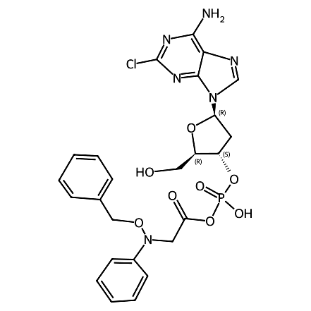 Nc1nc(Cl)nc2c1ncn2[C@H]1C[C@H](OP(=O)(O)OC(=O)CN(OCc2ccccc2)c2ccccc2)[C@@H](CO)O1